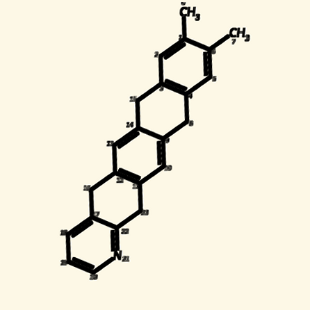 Cc1cc2c(cc1C)Cc1cc3c(cc1C2)Cc1cccnc1C3